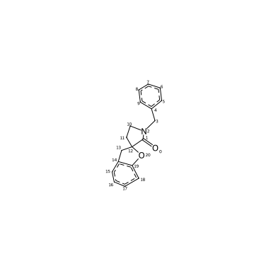 O=C1N(Cc2ccccc2)CCC12Cc1ccccc1O2